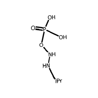 CC(C)NNOP(=O)(O)O